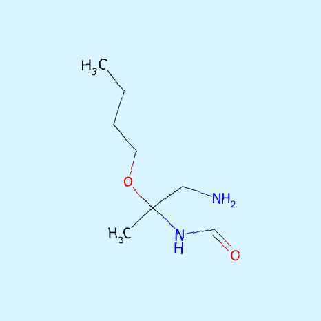 CCCCOC(C)(CN)NC=O